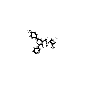 O=C(N[C@H]1C[S@+]([O-])C[C@H]1O)c1cc(-c2ccc(C(F)(F)F)cc2)nn(-c2cccnc2)c1=O